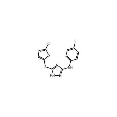 Fc1ccc(Nc2n[nH]c(Sc3ccc(Cl)s3)n2)cc1